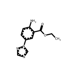 CCOC(=O)c1cc(-n2cncn2)ccc1N